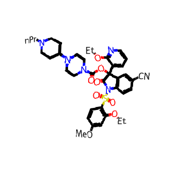 CCCN1CCC(N2CCN(C(=O)OC3(c4cccnc4OCC)C(=O)N(S(=O)(=O)c4ccc(OC)cc4OCC)c4ccc(C#N)cc43)CC2)CC1